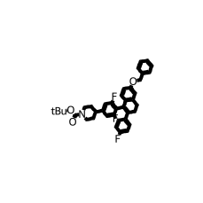 CC(C)(C)OC(=O)N1CCC(c2cc(F)c(C3=C(c4ccc(F)cc4)CCc4cc(OCc5ccccc5)ccc43)c(F)c2)CC1